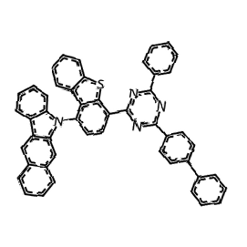 c1ccc(-c2ccc(-c3nc(-c4ccccc4)nc(-c4ccc(-n5c6ccccc6c6cc7ccccc7cc65)c5c4sc4ccccc45)n3)cc2)cc1